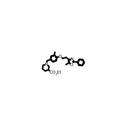 CCOC(=O)C1CCCN(Cc2ccc(OCCc3nc(-c4ccccc4)oc3C)c(C)c2)C1